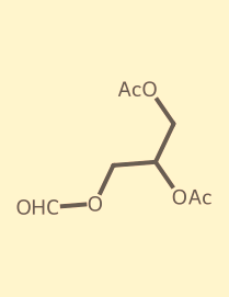 CC(=O)OCC(COC=O)OC(C)=O